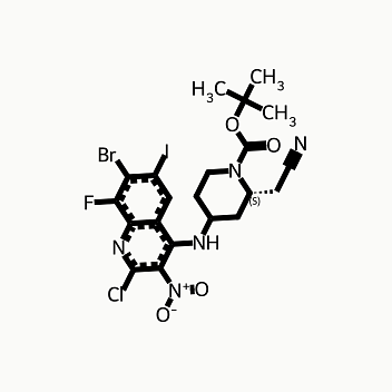 CC(C)(C)OC(=O)N1CCC(Nc2c([N+](=O)[O-])c(Cl)nc3c(F)c(Br)c(I)cc23)C[C@H]1CC#N